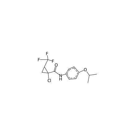 CC(C)Oc1ccc(NC(=O)C2(Cl)CC2C(F)(F)F)cc1